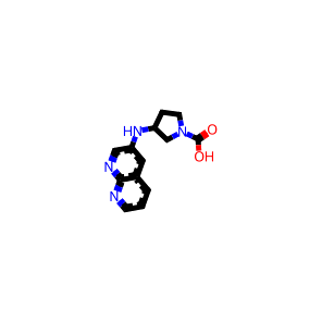 O=C(O)N1CCC(Nc2cnc3ncccc3c2)C1